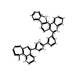 CC1=C=CC=Cc2cc(-c3cnc(-c4cccc(-c5nc6ccccc6c6c5ccc5c7ccccc7oc56)c4)nc3)c3cccnc3c21